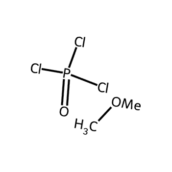 COC.O=P(Cl)(Cl)Cl